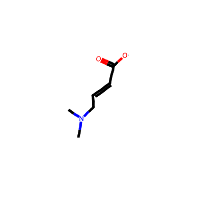 CN(C)C/C=C/C([O])=O